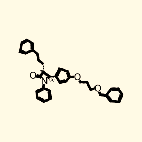 O=C1[C@H](CCCc2ccccc2)[C@@H](c2ccc(OCCCOCc3ccccc3)cc2)N1c1ccccc1